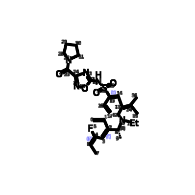 C=C/C(=C\C(F)=C/C)[C@@H](C)N(CC)CC(/C=C(\C=C)S(=O)(=O)Nc1nc(C(=O)N2CCCC2)no1)=C(C)C